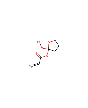 C=CC(=O)OC1(OCC)CCCO1